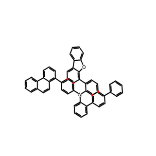 c1ccc(-c2ccc(-c3ccccc3N(c3ccc(-c4cccc5c4ccc4ccccc45)cc3)c3ccccc3-c3cccc4c3oc3ccccc34)cc2)cc1